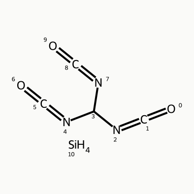 O=C=NC(N=C=O)N=C=O.[SiH4]